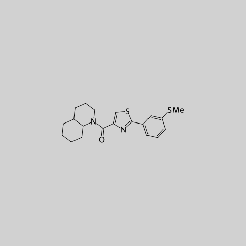 CSc1cccc(-c2nc(C(=O)N3CCCC4CCCCC43)cs2)c1